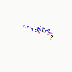 Cc1nc2cc(NCCCN3CCOCC3)ccc2c(=O)n1-c1ccc(NC(=O)NS(=O)(=O)c2ccc(Cl)s2)cn1